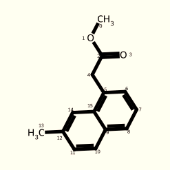 COC(=O)Cc1cccc2ccc(C)cc12